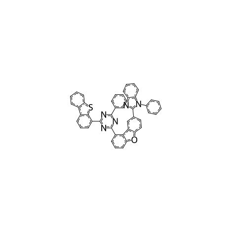 c1ccc(-c2nc(-c3cccc4c3sc3ccccc34)nc(-c3cccc4oc5ccc(-c6nc7ccccc7n6-c6ccccc6)cc5c34)n2)cc1